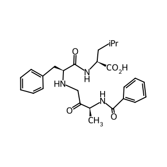 CC(C)C[C@H](NC(=O)[C@H](Cc1ccccc1)NCC(=O)[C@H](C)NC(=O)c1ccccc1)C(=O)O